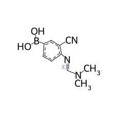 CN(C)/C=N/c1ccc(B(O)O)cc1C#N